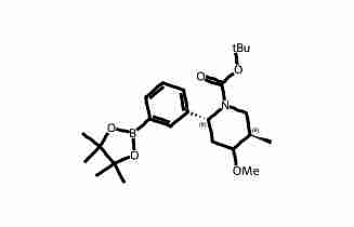 COC1C[C@H](c2cccc(B3OC(C)(C)C(C)(C)O3)c2)N(C(=O)OC(C)(C)C)C[C@H]1C